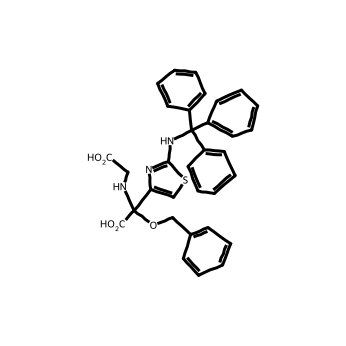 O=C(O)CNC(OCc1ccccc1)(C(=O)O)c1csc(NC(c2ccccc2)(c2ccccc2)c2ccccc2)n1